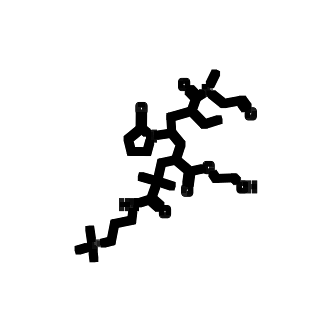 CCC(CC(CC(CC(C)(C)C(=O)NCCC[N+](C)(C)C)C(=O)OCCO)N1CCCC1=O)C(=O)N(C)CC=O